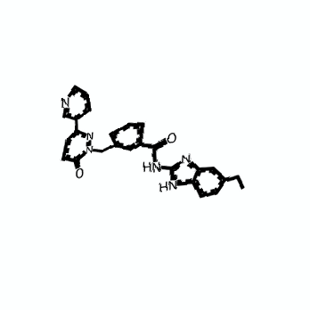 CCc1ccc2[nH]c(NC(=O)c3cccc(Cn4nc(-c5cccnc5)ccc4=O)c3)nc2c1